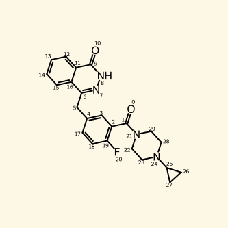 O=C(c1cc(Cc2n[nH]c(=O)c3ccccc23)ccc1F)N1CCN(C2CC2)CC1